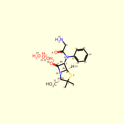 CC1(C)S[C@@H]2[C@H](N(C(=O)CN)c3ccccc3)C(=O)N2[C@H]1C(=O)O.O.O.O